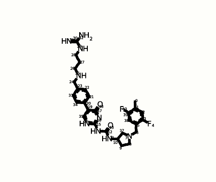 Cc1cc(F)c(CN2CCC(NC(=O)Nc3nc(=O)c(-c4ccc(CNCCCNC(=N)N)cc4)c[nH]3)C2)cc1F